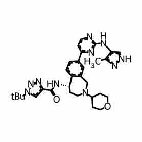 Cc1n[nH]cc1Nc1nccc(-c2ccc3c(c2)CN(C2CCOCC2)CC[C@@H]3NC(=O)c2cn(C(C)(C)C)nn2)n1